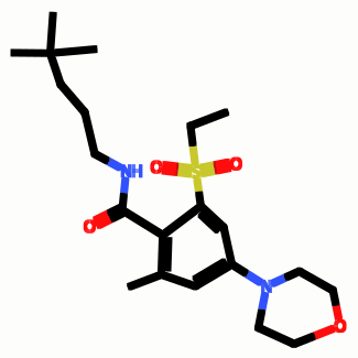 CCS(=O)(=O)c1cc(N2CCOCC2)cc(C)c1C(=O)NCCCC(C)(C)C